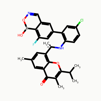 Cc1cc([C@H](C)Nc2ccc(Cl)cc2-c2cc(F)c3c(c2)C=NOB3O)c2oc(C(C)C)c(C)c(=O)c2c1